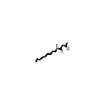 CCCCCCCCCNC(=O)CC(C)=O